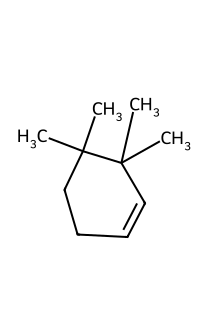 CC1(C)C=CCCC1(C)C